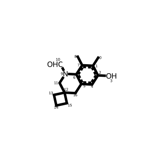 Cc1c(O)cc2c(c1C)N(C=O)CC1(CCC1)C2